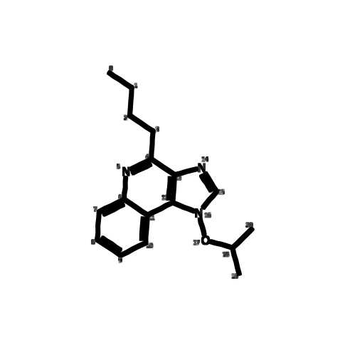 CCCCc1nc2ccccc2c2c1ncn2OC(C)C